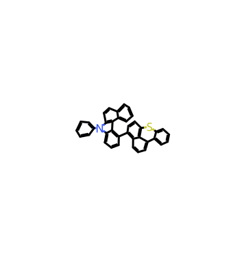 c1ccc(-n2c3cccc(-c4ccc5c6c(cccc46)-c4ccccc4S5)c3c3c4ccccc4ccc32)cc1